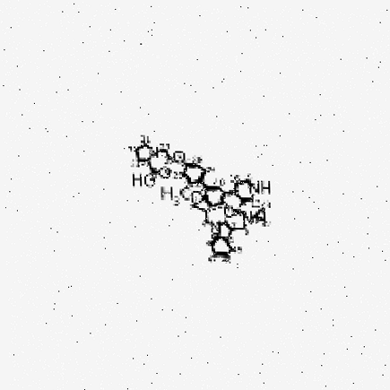 COCCCn1cc(CN(C(=O)[C@H]2CNCC[C@@H]2c2cccc(-c3ccc(OCCN4CCCC4C(=O)O)cc3)c2)C2CC2)c2ccccc21